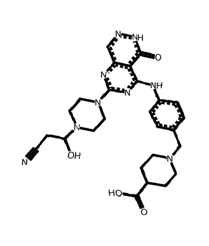 N#CCC(O)N1CCN(c2nc(Nc3ccc(CN4CCC(C(=O)O)CC4)cc3)c3c(=O)[nH]ncc3n2)CC1